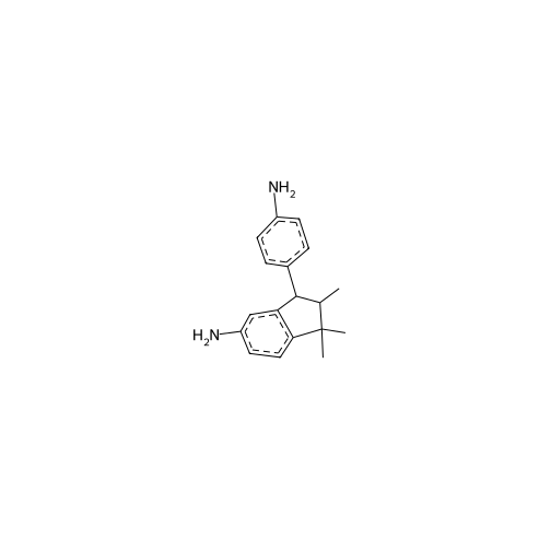 CC1C(c2ccc(N)cc2)c2cc(N)ccc2C1(C)C